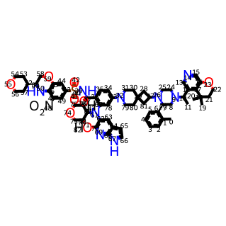 Cc1ccccc1[C@@H]1CN(C(C)c2cncc3c2C(C)(C)CCO3)CCN1C1CC2(CCN(c3ccc(C(=O)NS(=O)(=O)c4cc5c(c([N+](=O)[O-])c4)N[C@H](C4CCOCC4)CO5)c(N4c5cc6cc[nH]c6nc5O[C@H]5COCC[C@@H]54)c3)CC2)C1